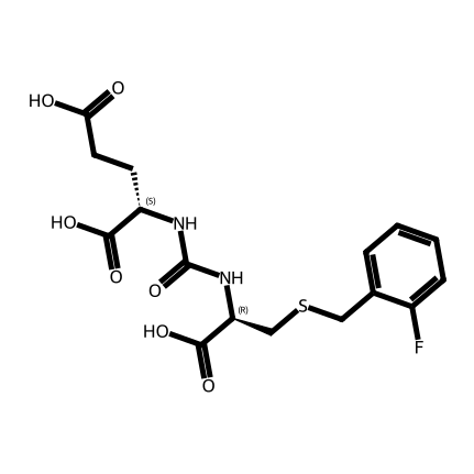 O=C(O)CC[C@H](NC(=O)N[C@@H](CSCc1ccccc1F)C(=O)O)C(=O)O